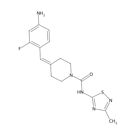 Cc1nsc(NC(=O)N2CCC(=Cc3ccc(N)cc3F)CC2)n1